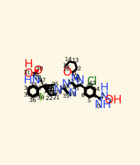 N=C(NO)c1ccc(-c2nn(C3CCCCO3)c3nc(N4CC[C@@H]5[C@H](C4)[C@@]5(CNC(=O)O)c4ccccc4F)cnc23)c(Cl)c1